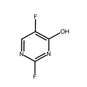 Oc1nc(F)ncc1F